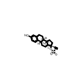 C#C[C@]1(OS(=O)(=O)F)CC[C@H]2[C@@H]3CCc4cc(O)ccc4[C@H]3CC[C@@]21C